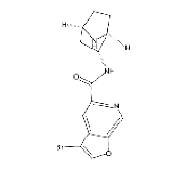 O=C(N[C@@H]1C[C@H]2CC[C@@H]1N2)c1cc2c(Br)coc2cn1